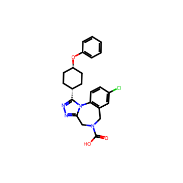 O=C(O)N1Cc2cc(Cl)ccc2-n2c(nnc2[C@H]2CC[C@H](Oc3ccccc3)CC2)C1